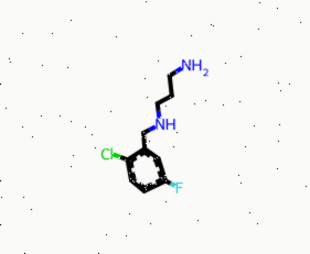 NCCCNCc1cc(F)ccc1Cl